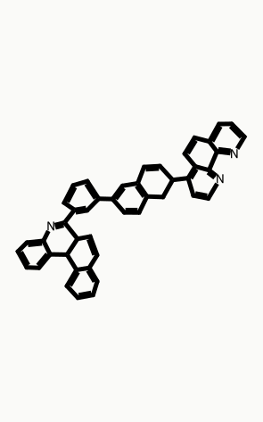 C1=CC(c2ccnc3c2ccc2cccnc23)Cc2ccc(-c3cccc(C4=Nc5ccccc5C5c6ccccc6C=CC45)c3)cc21